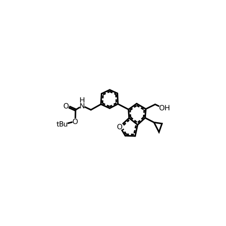 CC(C)(C)OC(=O)NCc1cccc(-c2cc(CO)c(C3CC3)c3ccoc23)c1